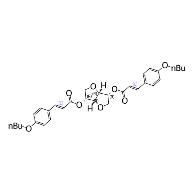 CCCCOc1ccc(/C=C/C(=O)O[C@@H]2CO[C@H]3[C@@H]2OC[C@H]3OC(=O)/C=C/c2ccc(OCCCC)cc2)cc1